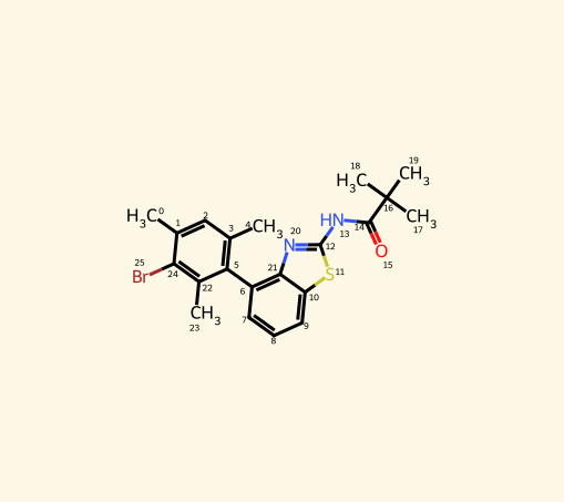 Cc1cc(C)c(-c2cccc3sc(NC(=O)C(C)(C)C)nc23)c(C)c1Br